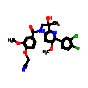 COc1cc(C(=O)NCC(C)(O)c2ccc(OC)c(-c3ccc(F)c(Cl)c3)n2)ccc1OCC#N